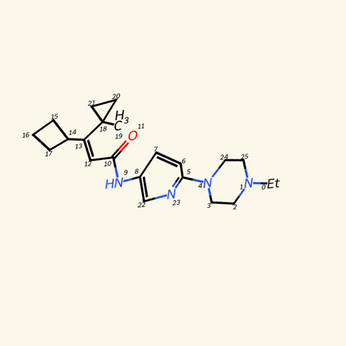 CCN1CCN(c2ccc(NC(=O)/C=C(/C3CCC3)C3(C)CC3)cn2)CC1